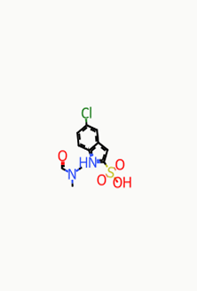 CN(C)C=O.O=S(=O)(O)c1cc2cc(Cl)ccc2[nH]1